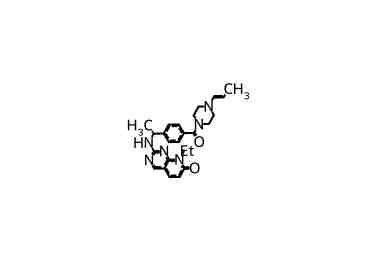 CC=CN1CCN(C(=O)c2ccc([C@H](C)Nc3ncc4ccc(=O)n(CC)c4n3)cc2)CC1